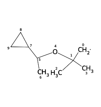 [CH2]C(C)(C)OC(C)C1CC1